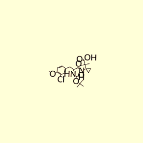 COc1ccc(CC(NC(=O)OC(C)(C)C)C(=O)NC2(C(C)(C)C(=O)O)CC2)cc1Cl